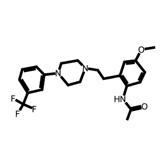 COc1ccc(NC(C)=O)c(CCN2CCN(c3cccc(C(F)(F)F)c3)CC2)c1